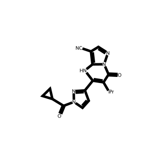 CC(C)c1c(-c2ccn(C(=O)C3CC3)n2)[nH]c2c(C#N)cnn2c1=O